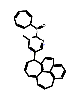 CC/C=C(\C=N/C(C)[PH](=O)C1C=CC=CC=C1)C1C=CC=C2C=CCc3cccc4ccc1c2c34